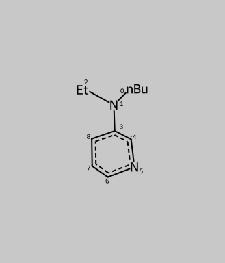 CCCCN(CC)c1[c]nccc1